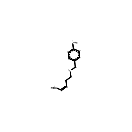 CCCCCC/C=C\CCOCc1ccc(OC)cc1